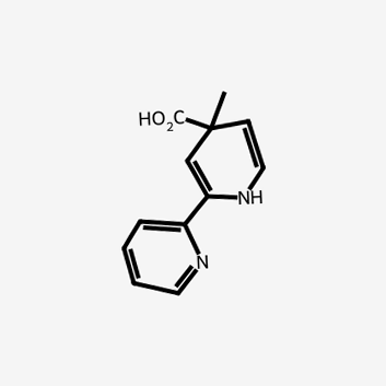 CC1(C(=O)O)C=CNC(c2ccccn2)=C1